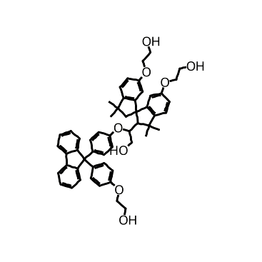 CC1(C)CC2(c3cc(OCCO)ccc31)c1cc(OCCO)ccc1C(C)(C)C2C(CO)Oc1ccc(C2(c3ccc(OCCO)cc3)c3ccccc3-c3ccccc32)cc1